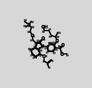 C=C(C)COc1ncnc2c1n(-c1ccc(C(=O)OC)c(OC(C)CCCO)n1)c(=O)n2COCC[Si](C)(C)C